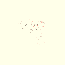 CC1C(O)[C@H](O[C@@H]2OC(CO)[C@H](O)C(O)[C@@H]2O)[C@H](CO)O[C@H]1O[C@@H]1C(O)[C@H](O)C(CO)O[C@@H]1OCC1O[C@@H](O[C@@H]2C(CO)O[C@@H](O[C@@H]3C(CO)O[C@@H](C)C(C)[C@H]3O)C(C)[C@H]2O)[C@H](O)C(O[C@H]2O[C@H](CO)[C@@H](O)C(O)C2O[C@@H]2OC(CO)[C@@H](O[C@@H]3OC(CO)[C@H](O)C(O[C@]4(C=O)C[C@@H](O)[C@@H](N)C([C@H](O)[C@H](O)CO)O4)[C@@H]3O)C(O)[C@@H]2C)[C@@H]1O